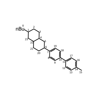 CCCCC1CCC2CC(c3ccc(-c4ccc(C)cc4)cc3)CCC2C1